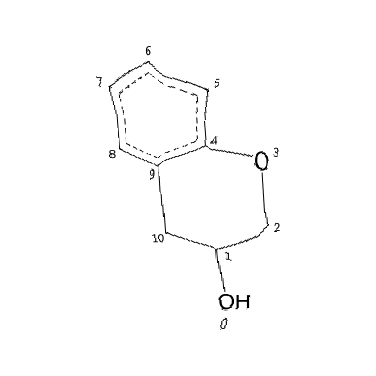 OC1COc2ccccc2C1